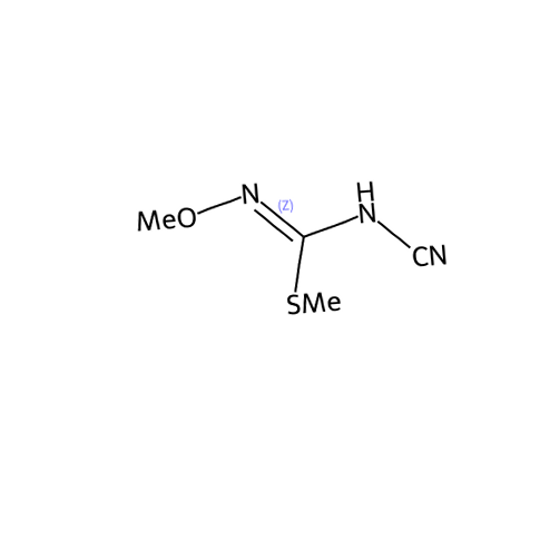 CO/N=C(/NC#N)SC